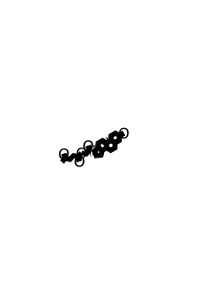 CC(=O)CCC(=O)OCC(=O)[C@H]1CCC2C3CCC4=CC(=O)CC[C@]4(C)C3=CC[C@@]21C